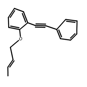 CC=CCOc1ccccc1C#Cc1ccccc1